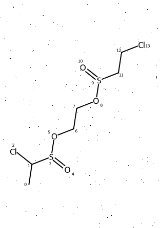 CC(Cl)S(=O)OCCOS(=O)CCCl